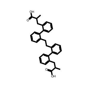 CC(Cc1ccccc1-c1ccccc1CCc1ccccc1-c1ccccc1CC(C)C(=O)O)C(=O)O